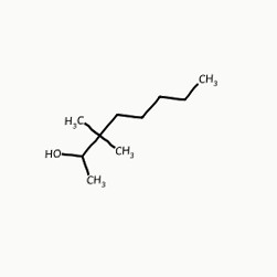 CCCCCC(C)(C)C(C)O